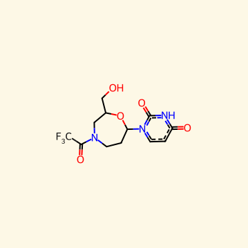 O=C(N1CCC(n2ccc(=O)[nH]c2=O)OC(CO)C1)C(F)(F)F